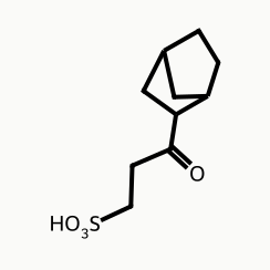 O=C(CCS(=O)(=O)O)C1CC2CCC1C2